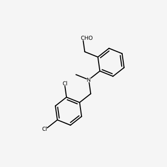 CN(Cc1ccc(Cl)cc1Cl)c1ccccc1CC=O